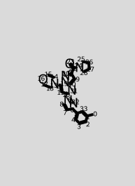 Cc1cccc(-c2ccn(-c3cc(N4CCOCC4)n4nc(C(=O)N5CCCC5)cc4n3)n2)c1